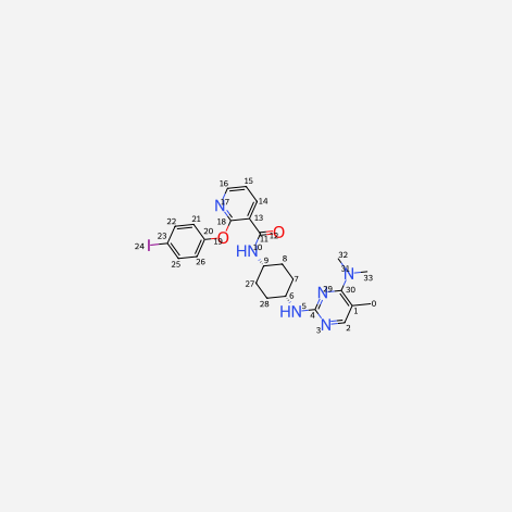 Cc1cnc(N[C@H]2CC[C@@H](NC(=O)c3cccnc3Oc3ccc(I)cc3)CC2)nc1N(C)C